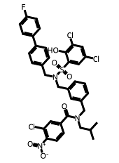 CC(C)CN(Cc1cccc(CN(Cc2ccc(-c3ccc(F)cc3)cc2)S(=O)(=O)c2cc(Cl)cc(Cl)c2O)c1)C(=O)c1ccc([N+](=O)[O-])c(Cl)c1